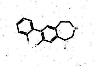 C[C@H]1CNCCc2cc(-c3ccccc3F)c(Cl)cc21